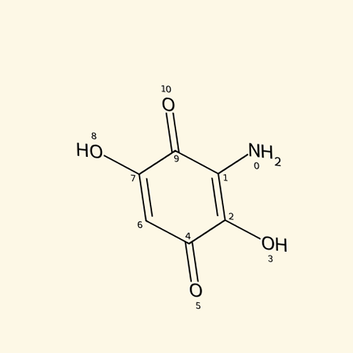 NC1=C(O)C(=O)C=C(O)C1=O